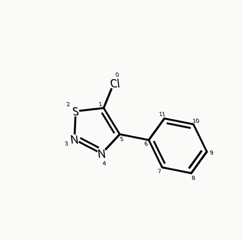 Clc1snnc1-c1ccccc1